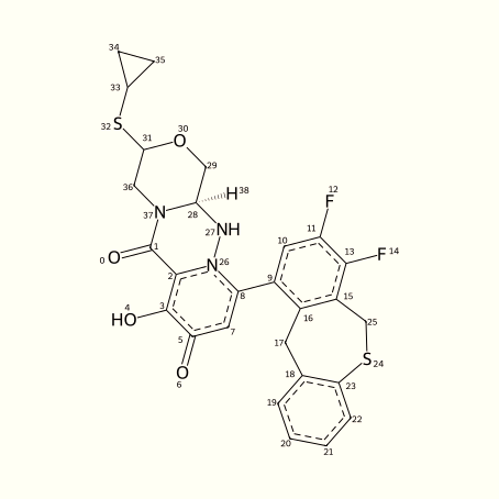 O=C1c2c(O)c(=O)cc(-c3cc(F)c(F)c4c3Cc3ccccc3SC4)n2N[C@@H]2COC(SC3CC3)CN12